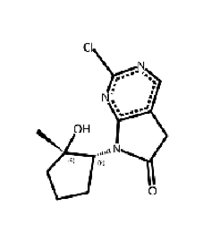 C[C@]1(O)CCC[C@H]1N1C(=O)Cc2cnc(Cl)nc21